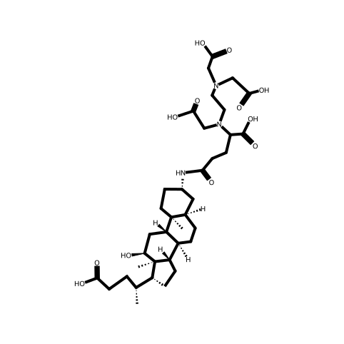 C[C@H](CCC(=O)O)[C@H]1CC[C@H]2[C@@H]3CC[C@@H]4C[C@@H](NC(=O)CCC(C(=O)O)N(CCN(CC(=O)O)CC(=O)O)CC(=O)O)CC[C@]4(C)[C@H]3C[C@H](O)[C@]12C